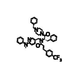 CN(c1ccccc1)c1ccc(CN(C(=O)/C=C/c2ccc(C(F)(F)F)cc2)[C@@H](Cc2ccccc2)C(=O)N2CCN(Cc3ccccc3)CC2)cn1